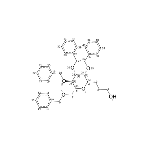 OCCC[C@@H]1O[C@H](COCc2ccccc2)[C@@H](OCc2ccccc2)[C@H](OCc2ccccc2)[C@@H]1OCc1ccccc1